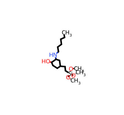 CCCCCCNC1CC(CC[Si](OC)(OC)OC)CCC1O